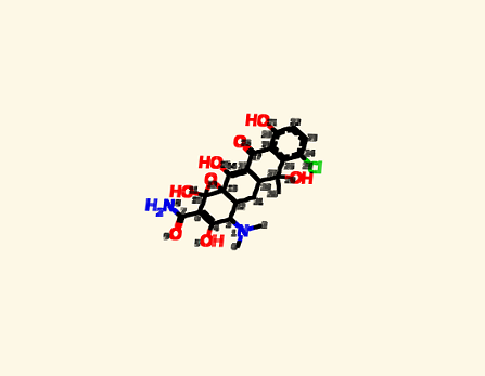 CN(C)C1C(O)=C(C(N)=O)C2(O)OC23C(O)=C2C(=O)c4c(O)ccc(Cl)c4C(C)(O)C2CC13